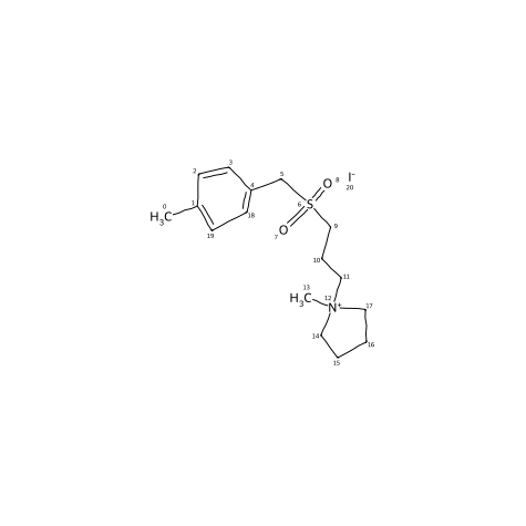 Cc1ccc(CS(=O)(=O)CCC[N+]2(C)CCCC2)cc1.[I-]